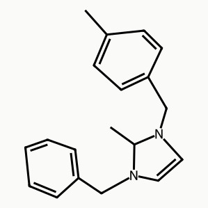 Cc1ccc(CN2C=CN(Cc3ccccc3)C2C)cc1